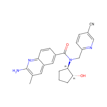 Cc1cc2cc(C(=O)N(Cc3ccc(C#N)cn3)[C@@H]3CCC[C@H]3O)ccc2nc1N